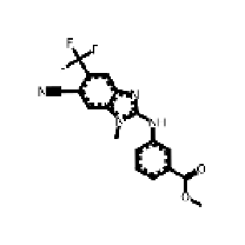 COC(=O)c1cccc(Nc2nc3cc(C(F)(F)F)c(C#N)cc3n2C)c1